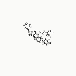 CC(C)CCCn1c(=O)c(NCCN2CCOCC2)nc2ncc(-c3ccc(F)cc3)cc21